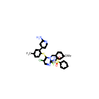 COc1ccc(CN2C(Sc3ccc(C(F)(F)F)cc3-c3ccnc(N)c3)=C(Cl)C=NC2(F)NS(=O)(=O)c2ccccc2)c(OC)c1